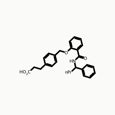 CCCC(NC(=O)c1ccccc1OCc1ccc(CCC(=O)O)cc1)c1ccccc1